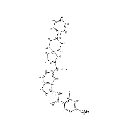 COc1ccc(C(=O)N[C@@H]2CCc3ccc(C(=O)N4CCC5(CCN(c6ccncc6)CC5)C4)cc32)c(C)c1